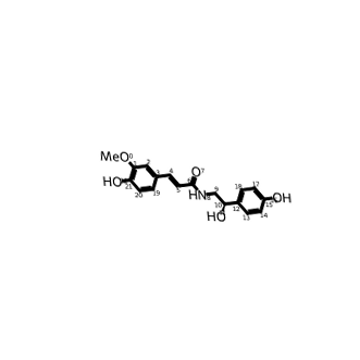 COc1cc(/C=C/C(=O)NC[C@H](O)c2ccc(O)cc2)ccc1O